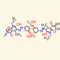 CCn1c(O)c(N=Nc2ccc(-c3ccc(N=Nc4c(C)c(C(=O)N(C)C)c(=O)n(CC)c4O)cc3S(=O)(=O)O)c(S(=O)(=O)O)c2)c(C)c(C(=O)N(C)C)c1=O